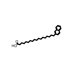 O=C(O)CCCCCCCCCCCCCCCCCc1ccc2ccccc2c1